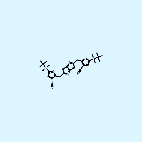 CC(C)(C)[Si](C)(C)c1cc(C#N)c(Cc2cc3sc(Cc4sc([Si](C)(C)C(C)(C)C)cc4C#N)cc3s2)s1